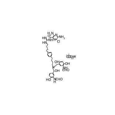 CC(=O)O.CC(=O)O.N=C(NCCCCc1ccc(CCCCN(C[C@H](O)c2ccc(O)c(NC=O)c2)C[C@H](O)c2ccc(O)c(NC=O)c2)cc1)NC(=O)c1nc(Cl)c(N)nc1N